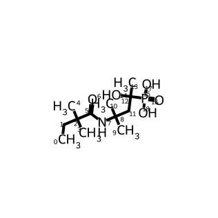 CCC(C)(C)C(=O)NC(C)(C)CC(C)(O)P(=O)(O)O